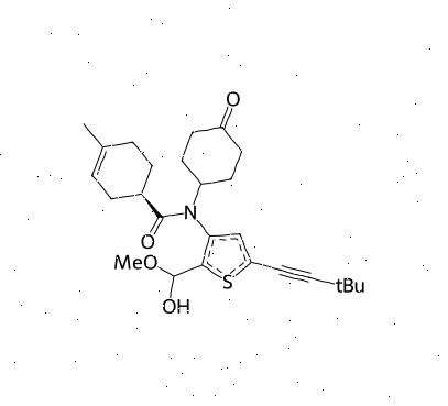 COC(O)c1sc(C#CC(C)(C)C)cc1N(C(=O)[C@H]1CC=C(C)CC1)C1CCC(=O)CC1